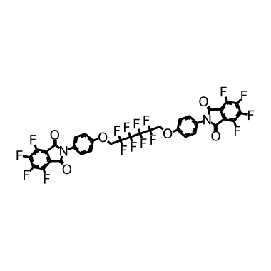 O=C1c2c(F)c(F)c(F)c(F)c2C(=O)N1c1ccc(OCC(F)(F)C(F)(F)C(F)(F)C(F)(F)COc2ccc(N3C(=O)c4c(F)c(F)c(F)c(F)c4C3=O)cc2)cc1